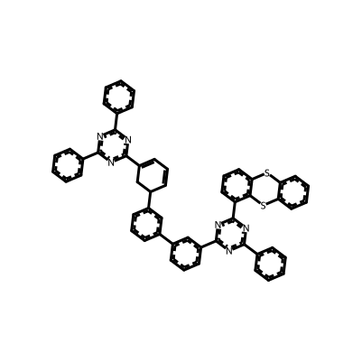 C1=CC(c2cccc(-c3cccc(-c4nc(-c5ccccc5)nc(-c5cccc6c5Sc5ccccc5S6)n4)c3)c2)CC(c2nc(-c3ccccc3)nc(-c3ccccc3)n2)=C1